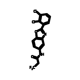 O=C(CC(F)(F)F)Nc1ccc2oc(-c3cccc(Cl)c3Cl)nc2c1